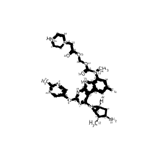 Cc1ncc(Oc2nc(N3C4[C@@H](C)[C@H](N)C[C@@H]43)c3c(n2)[nH]c2c(N(C)C(=O)OCOC(=O)CN4CCNCC4)cc(F)cc23)cn1